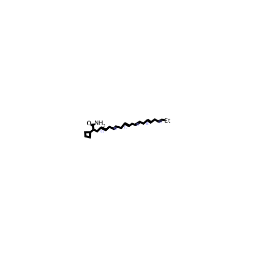 CC/C=C/C/C=C/C/C=C/C/C=C/C/C=C/C/C=C/CC(C(N)=O)C1CCC1